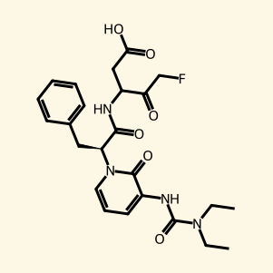 CCN(CC)C(=O)Nc1cccn([C@@H](Cc2ccccc2)C(=O)NC(CC(=O)O)C(=O)CF)c1=O